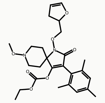 CCOC(=O)OC1=C(c2c(C)cc(C)cc2C)C(=O)N(OCC2CC=CO2)C12CCN(OC)CC2